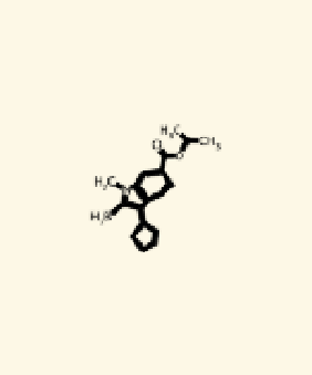 Bc1c(C2CCCC2)c2ccc(C(=O)OC(C)C)cc2n1C